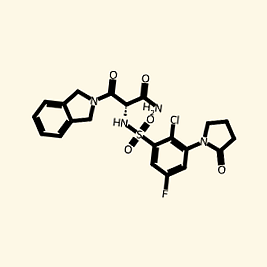 NC(=O)[C@H](NS(=O)(=O)c1cc(F)cc(N2CCCC2=O)c1Cl)C(=O)N1Cc2ccccc2C1